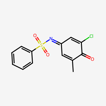 CC1=C/C(=N\S(=O)(=O)c2ccccc2)C=C(Cl)C1=O